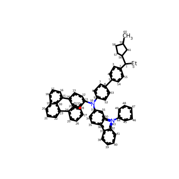 CCC(c1ccc(-c2ccc(N(c3ccc(-c4cccc5cccc(-c6ccccc6)c45)cc3)c3ccc4c5ccccc5n(-c5ccccc5)c4c3)cc2)cc1)C1CCC(C)C1